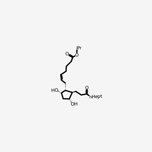 CCCCCCCC(=O)CC[C@@H]1[C@@H](C/C=C\CCCC(=O)OC(C)C)[C@@H](O)C[C@H]1O